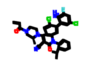 C=CC(=O)N1CCN(c2c(C#N)c(=O)n(-c3ccccc3C(C)C)c3cc(-c4cc(Cl)cc(F)c4N)c(Cl)cc23)[C@@H](C)C1